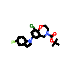 CC(C)(C)OC(=O)N1CCOc2c(Cl)cc(-n3ccc4cc(F)ccc43)cc2C1